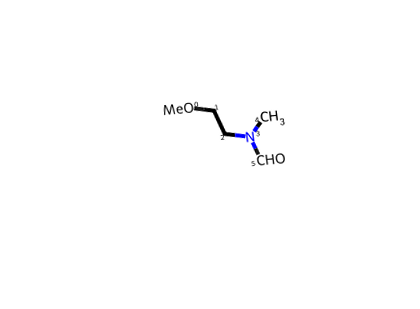 COCCN(C)C=O